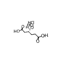 Cl.Cl.O.O=C(O)CCCCC(=O)O